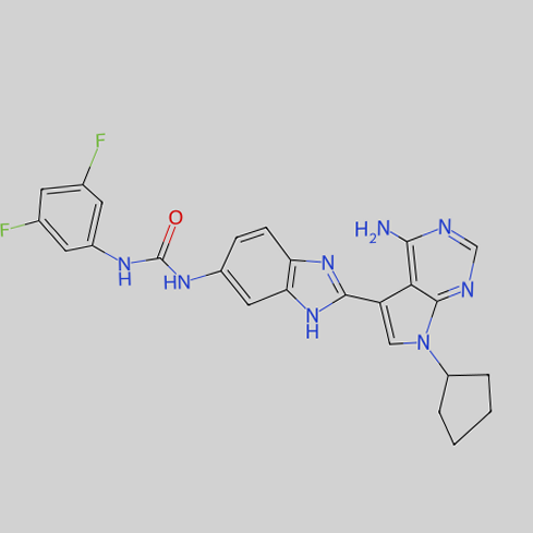 Nc1ncnc2c1c(-c1nc3ccc(NC(=O)Nc4cc(F)cc(F)c4)cc3[nH]1)cn2C1CCCC1